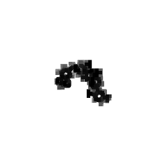 Fc1ccc(F)c(-c2ccc(NC3[C@H]4CN(Cc5ccc6c(c5)OCO6)C[C@@H]34)nn2)c1